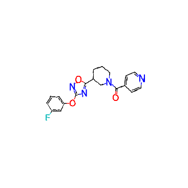 O=C(c1ccncc1)N1CCCC(c2nc(Oc3cccc(F)c3)no2)C1